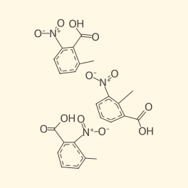 Cc1c(C(=O)O)cccc1[N+](=O)[O-].Cc1cccc(C(=O)O)c1[N+](=O)[O-].Cc1cccc([N+](=O)[O-])c1C(=O)O